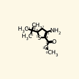 COC(=O)C1=C(N)CC(C(C)(C)C)S1